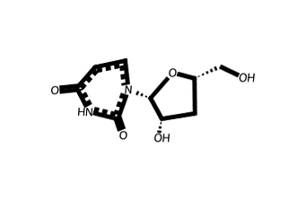 O=c1ccn([C@@H]2O[C@H](CO)C[C@@H]2O)c(=O)[nH]1